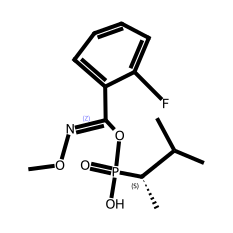 CO/N=C(\OP(=O)(O)[C@@H](C)C(C)C)c1ccccc1F